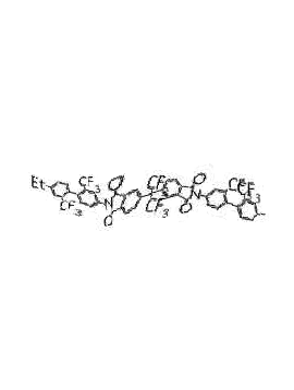 CCc1ccc(-c2ccc(N3C(=O)c4ccc(C(c5ccc6c(c5)C(=O)N(c5ccc(-c7ccc(C)cc7C(F)(F)F)c(C(F)(F)F)c5)C6=O)(C(F)(F)F)C(F)(F)F)cc4C3=O)cc2C(F)(F)F)c(C(F)(F)F)c1